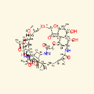 CO[C@H]1/C=C/O[C@@]2(C)Oc3c(C)c(O)c4c(O)c(cc(OCC(=O)NC5CC(NC(C)=O)C5)c4c3C2=O)NC(=O)/C(C)=C\C=C\[C@H](C)[C@H](O)[C@@H](C)[C@@H](O)[C@@H](C)[C@H](OC(C)=O)[C@@H]1C